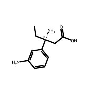 CC[C@@](N)(CC(=O)O)c1cccc(N)c1